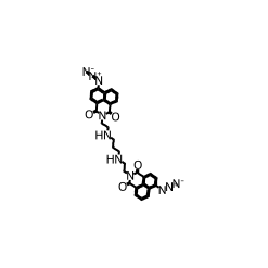 [N-]=[N+]=Nc1ccc2c3c(cccc13)C(=O)N(CCNCCCNCCN1C(=O)c3cccc4c(N=[N+]=[N-])ccc(c34)C1=O)C2=O